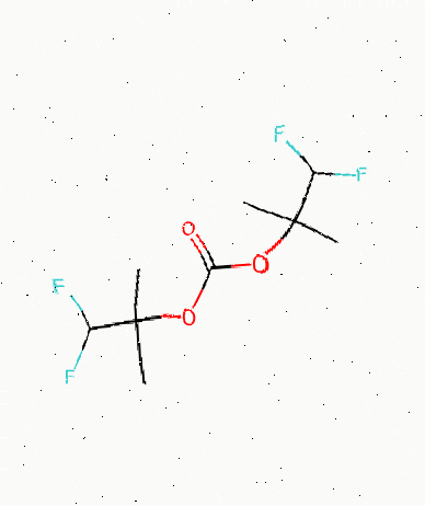 CC(C)(OC(=O)OC(C)(C)C(F)F)C(F)F